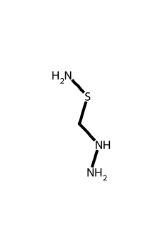 NNCSN